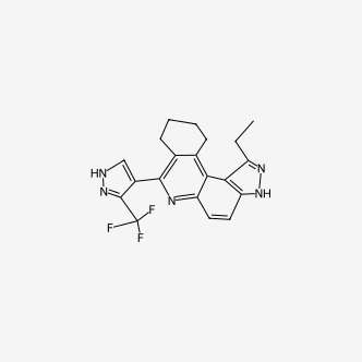 CCc1n[nH]c2ccc3nc(-c4c[nH]nc4C(F)(F)F)c4c(c3c12)CCCC4